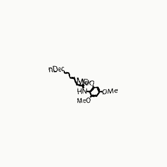 CCCCCCCCCCCCCCCC(=O)Nc1c(OC)cc(OC)cc1OC